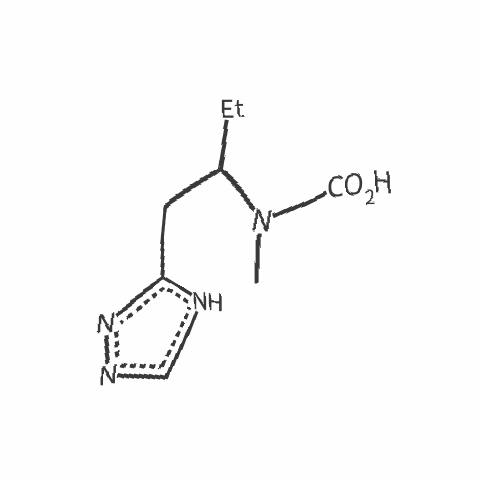 CCC(Cc1nnc[nH]1)N(C)C(=O)O